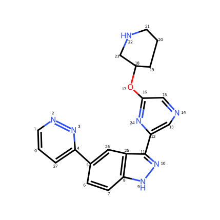 c1cnnc(-c2ccc3[nH]nc(-c4cncc(OC5CCCNC5)n4)c3c2)c1